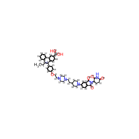 CC/C(=C(\c1ccc(OCCN2CCN(CCC3CCN(c4ccc5c(c4)C(=O)N(C4CCC(=O)NC4=O)C5=O)CC3)CC2)cc1)c1ccc(B(O)O)cc1)c1ccccc1